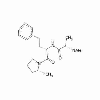 CN[C@@H](C)C(=O)N[C@@H](CCc1ccccc1)C(=O)N1CCC[C@H]1C